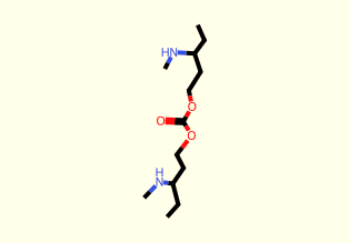 CCC(CCOC(=O)OCCC(CC)NC)NC